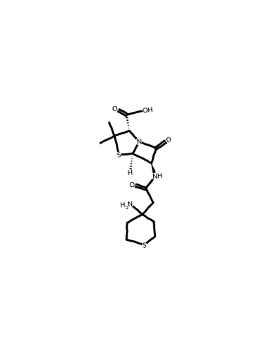 CC1(C)S[C@@H]2[C@H](NC(=O)CC3(N)CCSCC3)C(=O)N2[C@H]1C(=O)O